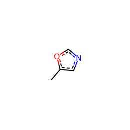 [CH2]c1cnco1